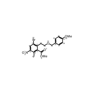 COC(=O)c1c(F)c([N+](=O)[O-])cc(Br)c1CCOCc1ccc(OC)cc1